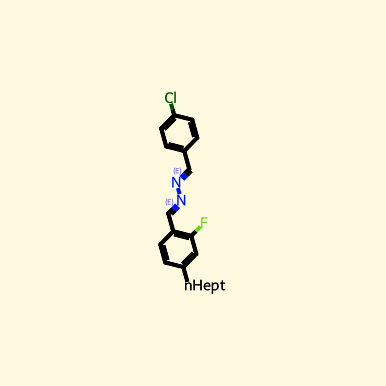 CCCCCCCc1ccc(/C=N/N=C/c2ccc(Cl)cc2)c(F)c1